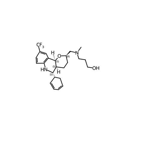 CN(CCCO)C[C@H]1CC[C@@H]2[C@H](O1)c1cc(C(F)(F)F)ccc1N[C@H]2C1C=CC=CC1